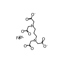 O=C([O-])CN(CCCN(CC(=O)[O-])CC(=O)[O-])CC(=O)[O-].[Fe+3].[K+]